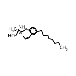 CCCCCCCCc1ccc2c(c1)C=CC[C@H]([C@](C)(N)CO)C2